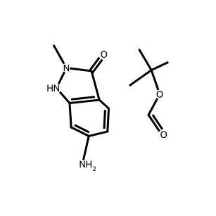 CC(C)(C)OC=O.Cn1[nH]c2cc(N)ccc2c1=O